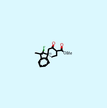 COC(=O)C1CC[C@@]2(CC1=O)C(F)=C(C)c1ccccc12